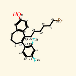 Oc1ccc2c(c1)CCCC(c1ccc(F)cc1F)=C2CCCCCCBr